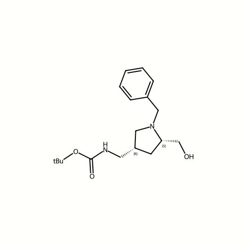 CC(C)(C)OC(=O)NC[C@H]1C[C@@H](CO)N(Cc2ccccc2)C1